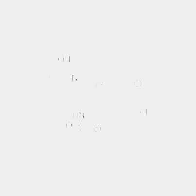 CS(=O)(=O)NCC1(c2ccc(Cl)c(Cl)c2)CCN(C(=O)O)CCO1